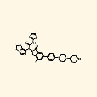 O=C(Nc1nccs1)C(c1ncn2c1CCC2)N1Cc2c(F)cc(-c3ccc(N4CCN(C5CCNCC5)CC4)cc3)cc2C1=O